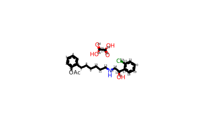 CC(=O)Oc1ccccc1CCCCCCNCC(O)c1ccccc1Cl.O=C(O)C(=O)O